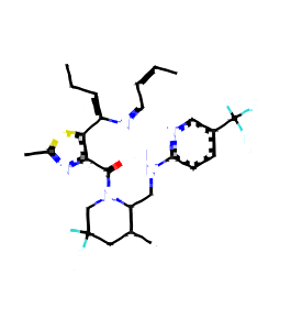 C\C=C/C=N\C(=C\CC)c1sc(C)nc1C(=O)N1CC(F)(F)CC(C)C1CNc1ccc(C(F)(F)F)cn1